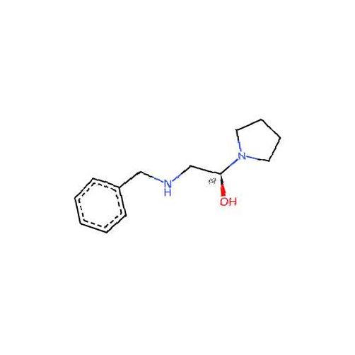 O[C@@H](CNCc1ccccc1)N1CCCC1